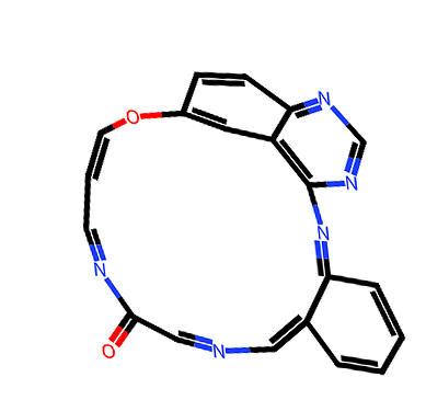 O=C1\C=N/C=c2/cccc/c2=N/c2ncnc3ccc(cc23)O/C=C\C=N/1